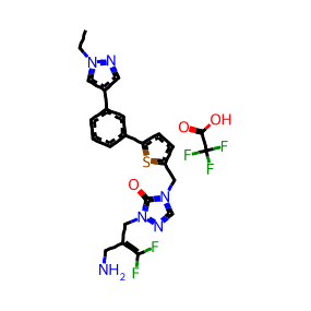 CCn1cc(-c2cccc(-c3ccc(Cn4cnn(CC(CN)=C(F)F)c4=O)s3)c2)cn1.O=C(O)C(F)(F)F